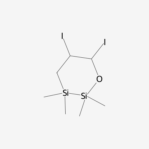 C[Si]1(C)CC(I)C(I)O[Si]1(C)C